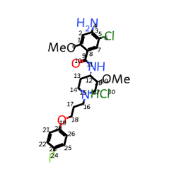 COc1cc(N)c(Cl)cc1C(=O)N[C@H]1CCN(CCCOc2ccc(F)cc2)C[C@@H]1OC.Cl